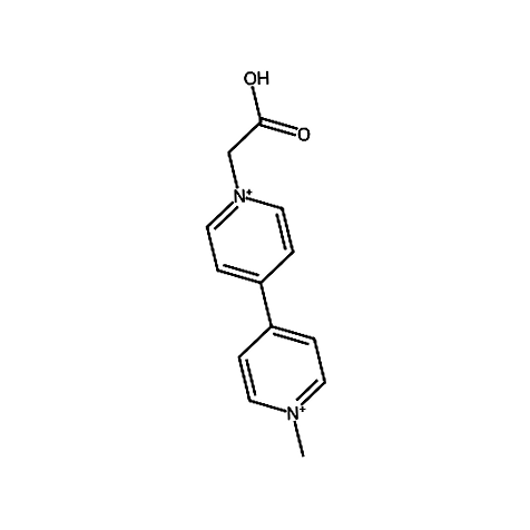 C[n+]1ccc(-c2cc[n+](CC(=O)O)cc2)cc1